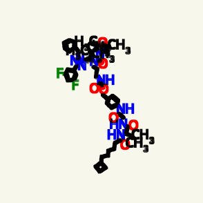 CC(C)C(NC(=O)CCCCCC1CCC1)C(=O)NCC(=O)Nc1ccc(COC(=O)NCCCN(C(=O)N2C[C@@H](C)O[C@@H](C)C2)[C@@H](c2nc(-c3cc(F)cc(F)c3)nn2Cc2ccccc2)C(C)(C)C)cc1